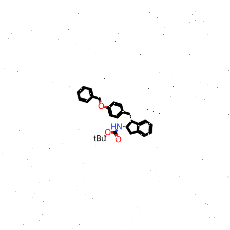 CC(C)(C)OC(=O)N[C@H]1Cc2ccccc2[C@H]1Cc1ccc(OCc2ccccc2)cc1